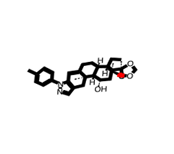 Cc1ccc(-n2ncc3c2C=C2CC[C@@H]4[C@H]([C@@H](O)C[C@@]5(C)[C@H]4CC[C@@]54OCOC45COCO5)[C@@]2(C)C3)cc1